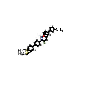 CC1CCC(C2C3=Cc4nc(-c5ccc(C6=CCC(S7(C)(C)(C)CC7)C=C6)cc5)c(F)cc4C2C3C)C1